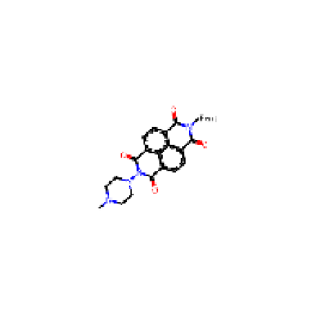 CCCC(C)N1C(=O)c2ccc3c4c(ccc(c24)C1=O)C(=O)N(N1CCN(C)CC1)C3=O